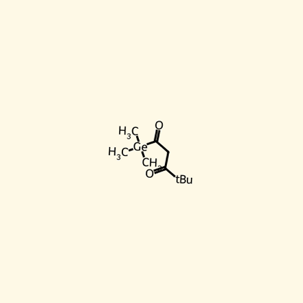 CC(C)(C)C(=O)C[C](=O)[Ge]([CH3])([CH3])[CH3]